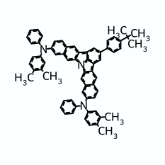 Cc1ccc(N(c2ccccc2)c2ccc3cc4c5cc(-c6ccc(C(C)(C)C)cc6)cc6c7cc8ccc(N(c9ccccc9)c9ccc(C)c(C)c9)cc8cc7n(c4cc3c2)c56)cc1C